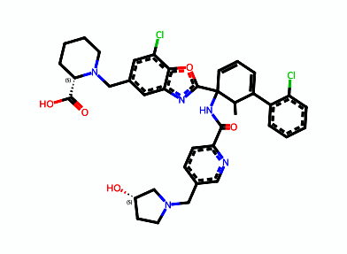 CC1C(c2ccccc2Cl)=CC=CC1(NC(=O)c1ccc(CN2CC[C@H](O)C2)cn1)c1nc2cc(CN3CCCC[C@H]3C(=O)O)cc(Cl)c2o1